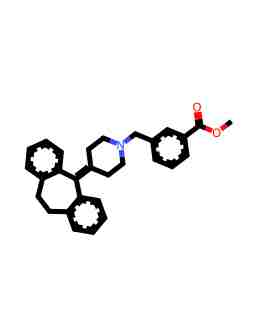 COC(=O)c1cccc(CN2CCC(=C3c4ccccc4CCc4ccccc43)CC2)c1